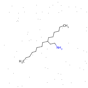 CCCCCCCCC(CCN)CCCCCC